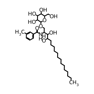 CCCCCCCCCCCCCCC(O)C(O)C(COC1OC(CO)C(O)C(O)C1O)NC(=O)c1cccc(C)c1